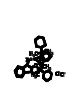 C[Si](C)(OC1=C2CCC3=C(O[Si](C)(C)C4CCCCC4)[CH]([Zr+2][CH]1c1ccccc12)c1ccccc13)C1CCCCC1.[Cl-].[Cl-]